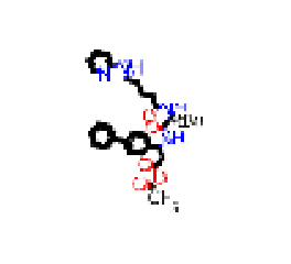 CC(C)(C)[C@H](NC(=O)CCCCNc1ccccn1)C(=O)NC(CC(=O)OC(=O)C(F)(F)F)c1ccc(-c2ccccc2)cc1